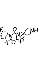 CC1(C)C(=O)N(C(=O)NCC2(O)CCNCC2)c2cc(F)ccc21